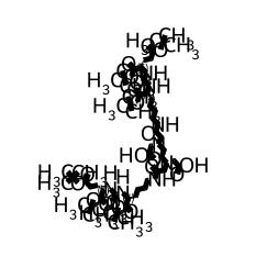 CC(C)(C)OC(=O)CC[C@H](NC(=O)N[C@@H](CCCCNC(=O)CN(CCN(CC(=O)O)CC(=O)NCCCC[C@H](NC(=O)N[C@@H](CCC(=O)OC(C)(C)C)C(=O)OC(C)(C)C)C(=O)OC(C)(C)C)CC(=O)O)C(=O)OC(C)(C)C)C(=O)OC(C)(C)C